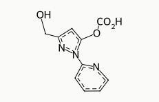 O=C(O)Oc1cc(CO)nn1-c1ccccn1